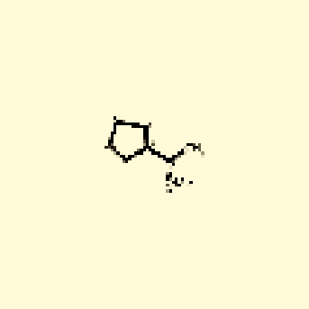 CO[C@@H](C)C1CCCC1